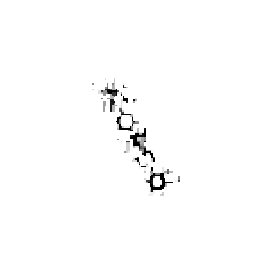 [2H]C([2H])([2H])N(C)C(=O)N[C@H]1CC[C@H](C([2H])([2H])C([2H])([2H])N2CCN(c3cccc(C)c3Cl)CC2)CC1